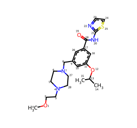 COCCN1CCN(Cc2cc(OC(C)C)cc(C(=O)Nc3nccs3)c2)CC1